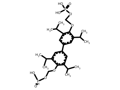 CC(C)c1cc(-c2cc(C(C)C)c(OCOP(=O)(O)O)c(C(C)C)c2)cc(C(C)C)c1OCO[PH](=O)O